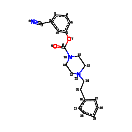 N#Cc1cccc(OC(=O)N2CCN(CCc3ccccc3)CC2)c1